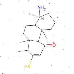 CC1C(S)=CC(=O)C2C1(C)CCC1C2(C)CCC[C@]1(C)N